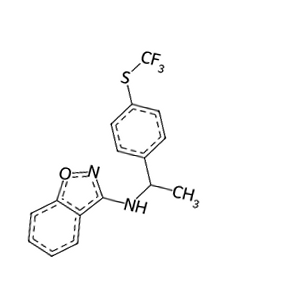 CC(Nc1noc2ccccc12)c1ccc(SC(F)(F)F)cc1